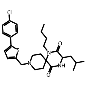 CCCCN1C(=O)C(CC(C)C)NC(=O)C12CCN(Cc1ccc(-c3ccc(Cl)cc3)s1)CC2